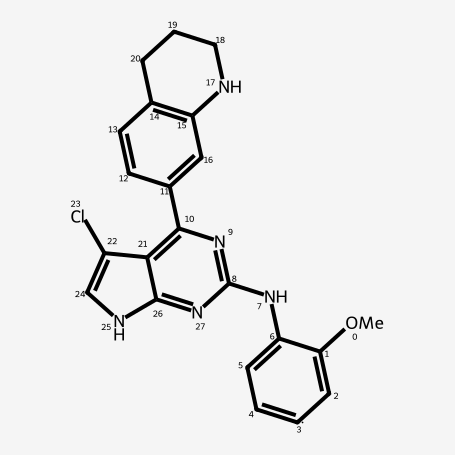 COc1c[c]ccc1Nc1nc(-c2ccc3c(c2)NCCC3)c2c(Cl)c[nH]c2n1